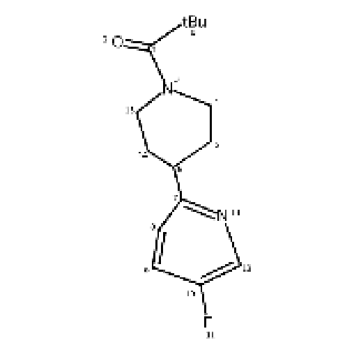 CC(C)(C)C(=O)N1CCC(c2ccc(F)cn2)CC1